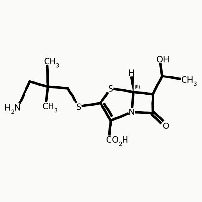 CC(O)C1C(=O)N2C(C(=O)O)=C(SCC(C)(C)CN)S[C@H]12